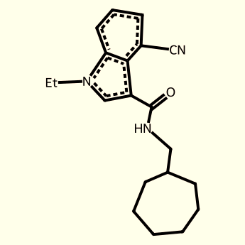 CCn1cc(C(=O)NCC2CCCCCC2)c2c(C#N)cccc21